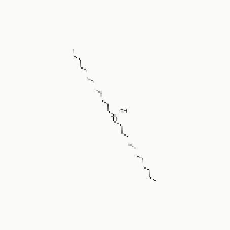 CCCCCCCCCCC[CH2][SnH]([OH])[CH2]CCCCCCCCCCC